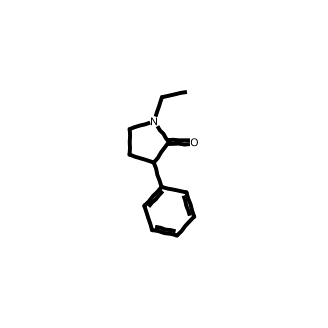 CCN1CCC(c2ccccc2)C1=O